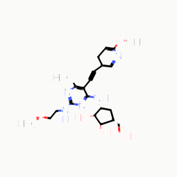 COCCNc1nc(C)c(C#CC2C=NC(OC)=CC2)c(N[C@@H]2C[C@H](CO)[C@@H](O)[C@H]2O)n1